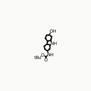 CC(C)(C)OC(=O)Nc1ccc2c(c1)[nH]c1cc(O)ccc12